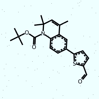 CC1=CC(C)(C)N(C(=O)OC(C)(C)C)c2ccc(-c3ccc(C=O)s3)cc21